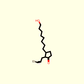 CC/C=C\CC1C(=O)CCC1CCCCCCCCO